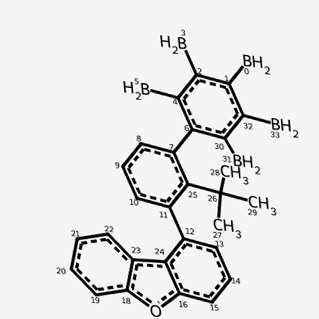 Bc1c(B)c(B)c(-c2cccc(-c3cccc4oc5ccccc5c34)c2C(C)(C)C)c(B)c1B